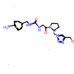 Nc1ccc(CNC(=O)NCC(=O)N2CCC[C@@H]2Cn2cc(CO)nn2)cc1